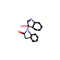 O=C1Cc2ccccc2N1C1(O)C=Nc2ccccc21